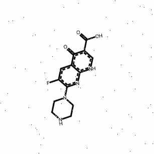 O=C(O)c1c[nH]c2nc(N3CCNCC3)c(F)cc2c1=O